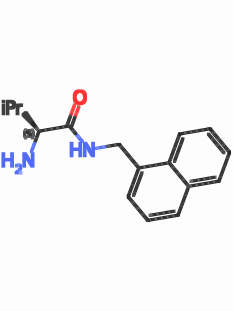 CC(C)[C@H](N)C(=O)NCc1cccc2ccccc12